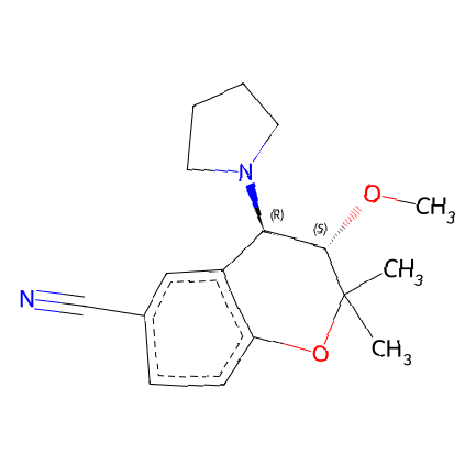 CO[C@H]1[C@H](N2CCCC2)c2cc(C#N)ccc2OC1(C)C